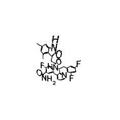 Cc1cc(C)c2c(c1)NC(=O)C2CC(=O)NC(Cc1cc(F)cc(F)c1)c1ncccc1-c1ccc(F)c(C(N)=O)c1